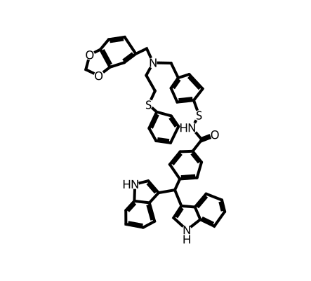 O=C(NSc1ccc(CN(CCSc2ccccc2)Cc2ccc3c(c2)OCO3)cc1)c1ccc(C(c2c[nH]c3ccccc23)c2c[nH]c3ccccc23)cc1